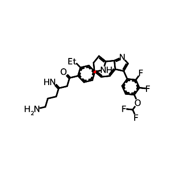 CCc1cc(N/C2=C\C/C=C\C=C3\C(c4ccc(OC(F)F)c(F)c4F)=CN=C23)ccc1C(=O)CC(=N)CCCN